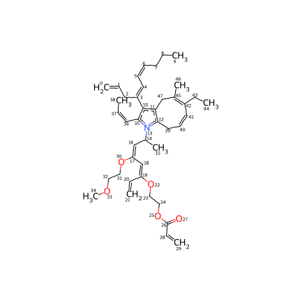 C=CC/C(=C\C=C/CCC)c1c2c(n(C(C)/C=C(\C=C(/C=C)OCCOC(=O)C=C)OCCOC)c1/C=C\C)C/C=C\C(CC)=C(\C)C2